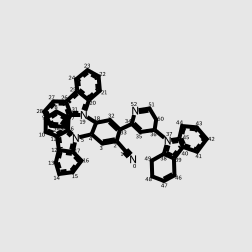 N#CC1=CC(n2c3ccccc3c3ccccc32)C(n2c3ccccc3c3ccccc32)C=C1C1=CC(n2c3c(c4ccccc42)C=CCC3)CC=N1